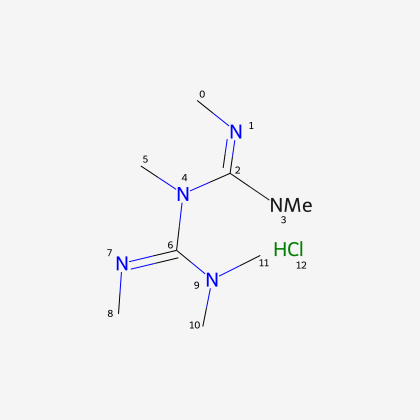 CN=C(NC)N(C)C(=NC)N(C)C.Cl